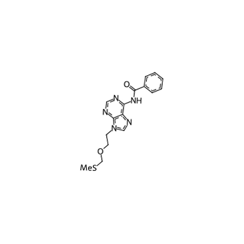 CSCOCCn1cnc2c(NC(=O)c3ccccc3)ncnc21